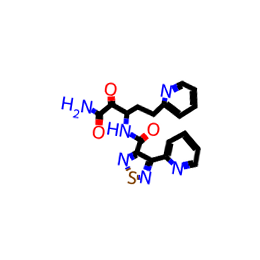 NC(=O)C(=O)C(CCc1ccccn1)NC(=O)c1nsnc1-c1ccccn1